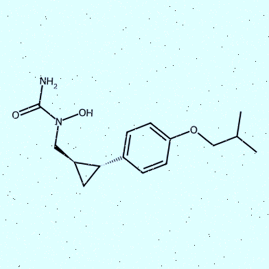 CC(C)COc1ccc([C@@H]2C[C@H]2CN(O)C(N)=O)cc1